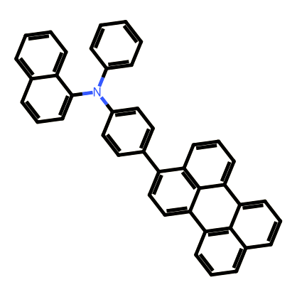 c1ccc(N(c2ccc(-c3ccc4c5cccc6cccc(c7cccc3c74)c65)cc2)c2cccc3ccccc23)cc1